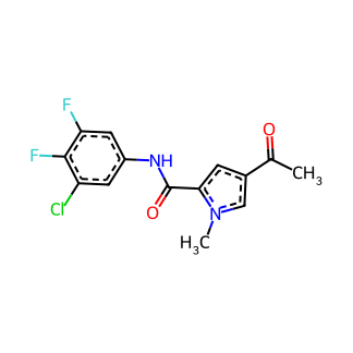 CC(=O)c1cc(C(=O)Nc2cc(F)c(F)c(Cl)c2)n(C)c1